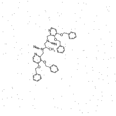 CC(CN(C#N)Cc1nccc(OCc2ccccc2)c1OCc1ccccc1)N(C#N)Cc1nccc(OCc2ccccc2)c1OCc1ccccc1